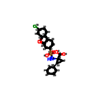 O=C(O)[C@]1(NS(=O)(=O)c2ccc3c(c2)oc2cc(Cl)ccc23)C[C@H]1c1ccccc1